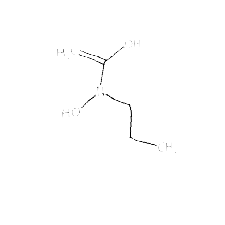 C=C(O)N(O)CCC